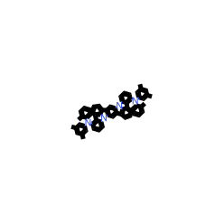 Cc1cc(C)cc(N(c2ccccc2C)c2cccc3c2c2cccc4c5cc6c(cc5n3c42)c2cccc3c4c(N(c5cc(C)cc(C)c5)c5ccccc5C)cccc4n6c23)c1